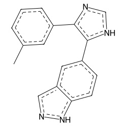 Cc1cccc(-c2nc[nH]c2-c2ccc3[nH]ncc3c2)c1